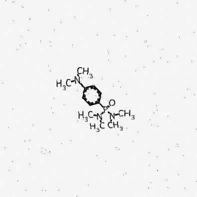 CN(C)c1ccc(P(=O)(N(C)C)N(C)C)cc1